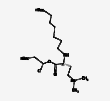 CCCCCCCCCCCCCCCCN[C@H](CC[SH](C)C)C(=O)OC(Cl)CCCCCCCCCCC